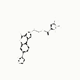 Cc1cc(C(=O)NCCn2cc3c(n2)c(N)nc2cc(-c4cc[nH]n4)ccc23)nn1C